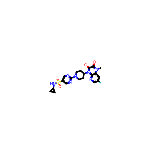 Cn1c(=O)c(=O)n(C2CCN(c3ncc(S(=O)(=O)NC4CC4)cn3)CC2)c2ncc(F)cc21